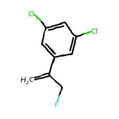 C=C(CF)c1cc(Cl)cc(Cl)c1